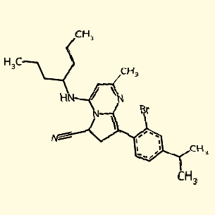 CCCC(CCC)NC1=CC(C)=NC2=C(c3ccc(C(C)C)cc3Br)CC(C#N)N12